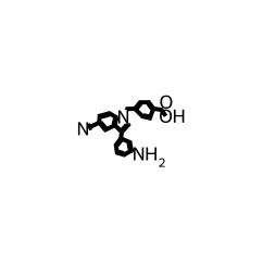 N#Cc1ccc2c(c1)c(-c1cccc(N)c1)cn2Cc1ccc(C(=O)O)cc1